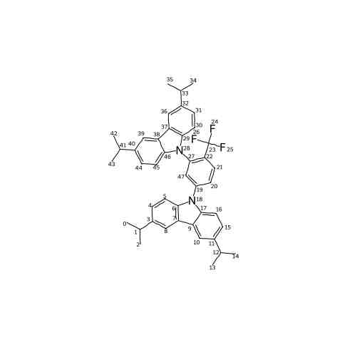 CC(C)c1ccc2c(c1)c1cc(C(C)C)ccc1n2-c1ccc(C(F)(F)F)c(-n2c3ccc(C(C)C)cc3c3cc(C(C)C)ccc32)c1